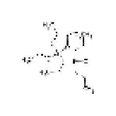 CCCP(=O)(CCC)C(CC)[Si](OCC)(OCC)OCC